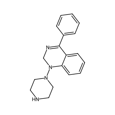 c1ccc(C2=NCN(N3CCNCC3)c3ccccc32)cc1